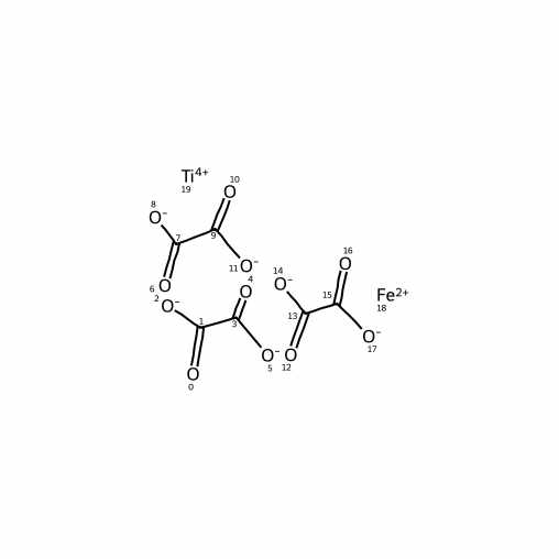 O=C([O-])C(=O)[O-].O=C([O-])C(=O)[O-].O=C([O-])C(=O)[O-].[Fe+2].[Ti+4]